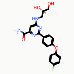 NC(=O)c1cc(NC[C@H](O)CO)nc(-c2ccc(Oc3ccc(F)cc3)cc2)n1